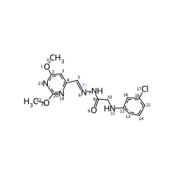 COc1cc(/C=N/NC(=O)CNc2cccc(Cl)c2)nc(OC)n1